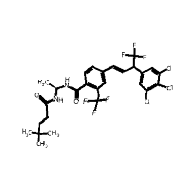 C[C@H](NC(=O)CCC(C)(C)C)NC(=O)c1ccc(C=CC(c2cc(Cl)c(Cl)c(Cl)c2)C(F)(F)F)cc1C(F)(F)F